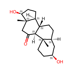 C[C@]12CC[C@H](O)C[C@@H]1CC[C@H]1[C@@H]3CC[C@H](O)[C@@]3(C)CC(=O)[C@@H]12